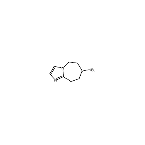 CCC(C)N1CCc2nccn2CC1